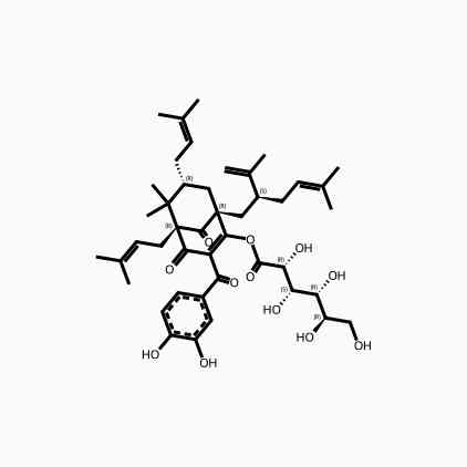 C=C(C)[C@@H](CC=C(C)C)C[C@@]12C[C@@H](CC=C(C)C)C(C)(C)[C@@](CC=C(C)C)(C(=O)C(C(=O)c3ccc(O)c(O)c3)=C1OC(=O)[C@H](O)[C@@H](O)[C@H](O)[C@H](O)CO)C2=O